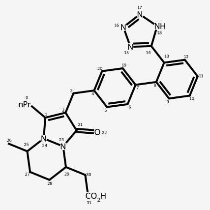 CCCc1c(Cc2ccc(-c3ccccc3-c3nnn[nH]3)cc2)c(=O)n2n1C(C)CCC2CC(=O)O